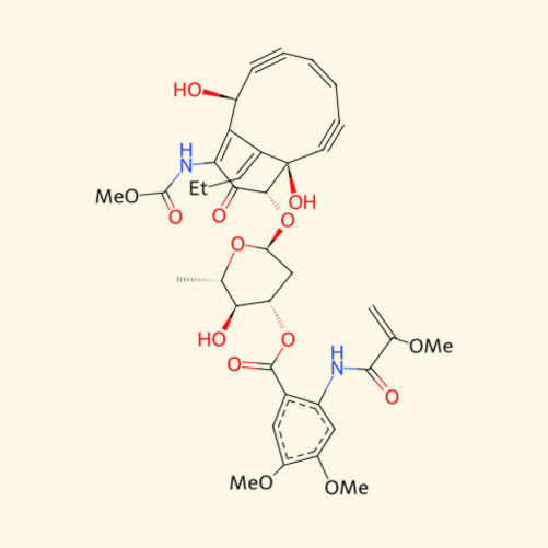 C=C(OC)C(=O)Nc1cc(OC)c(OC)cc1C(=O)O[C@H]1C[C@H](O[C@@H]2C(=O)C(NC(=O)OC)=C3/C(=C\CC)[C@]2(O)C#C/C=C\C#C[C@@H]3O)O[C@@H](C)[C@@H]1O